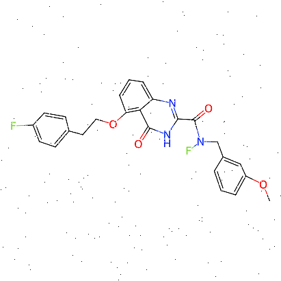 COc1cccc(CN(F)C(=O)c2nc3cccc(OCCc4ccc(F)cc4)c3c(=O)[nH]2)c1